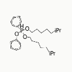 CC(C)CCCCCO[PH](OCCCCCC(C)C)(Oc1ccccc1)c1ccccc1